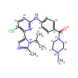 Cc1ncc(-c2nc(Nc3ccc(C(=O)N4CCN(C)CC4)cc3)ncc2Cl)n1C(C)C